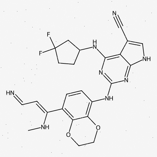 CN/C(=C\C=N)c1ccc(Nc2nc(NC3CCC(F)(F)C3)c3c(C#N)c[nH]c3n2)c2c1OCCO2